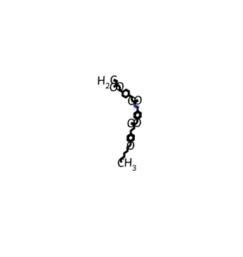 C=CC(=O)OCC1CCC(COC(=O)/C=C/c2ccc(OC(=O)CCc3ccc(OCCCCCC)cc3)cc2)CC1